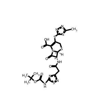 Cc1nnc(SC2=C(C(=O)O)N3C(=O)[C@@H](NC(=O)Cc4nsc(NC(=O)OC(C)(C)C)n4)[C@@H]3SC2)s1